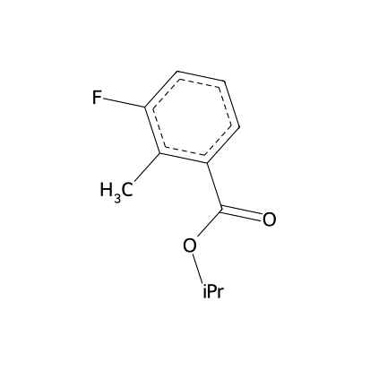 Cc1c(F)cccc1C(=O)OC(C)C